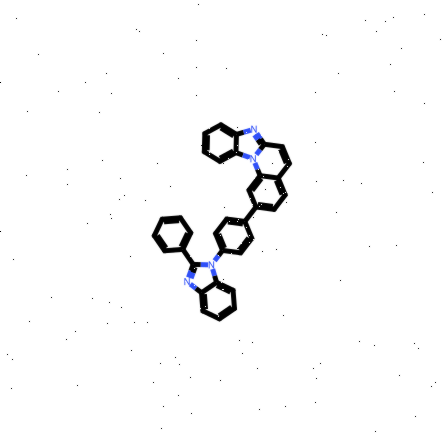 c1ccc(-c2nc3ccccc3n2-c2ccc(-c3ccc4ccc5nc6ccccc6n5c4c3)cc2)cc1